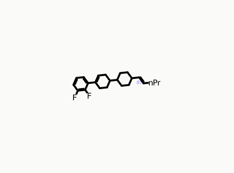 CCC/C=C/C1CCC(C2CC=C(c3cccc(F)c3F)CC2)CC1